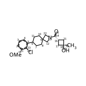 COc1cccc(C2CCC3(CC2)CN(C(=O)[C@H]2C[C@@](C)(O)C2)C3)c1Cl